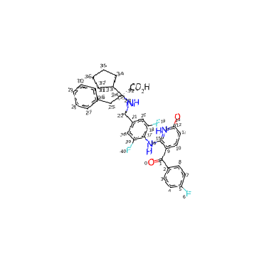 O=C(c1ccc(F)cc1)c1ccc(=O)[nH]c1Nc1c(F)cc(CN[C@](Cc2ccccc2)(C(=O)O)C2CCCC2)cc1F